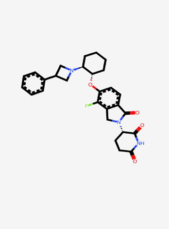 O=C1CC[C@H](N2Cc3c(ccc(O[C@H]4CCCC[C@@H]4N4CC(c5ccccc5)C4)c3F)C2=O)C(=O)N1